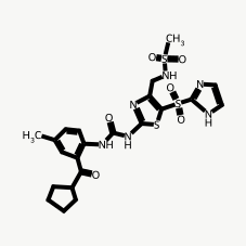 Cc1ccc(NC(=O)Nc2nc(CNS(C)(=O)=O)c(S(=O)(=O)c3ncc[nH]3)s2)c(C(=O)C2CCCC2)c1